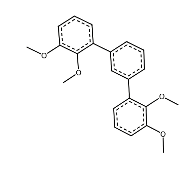 COc1cccc(-c2cccc(-c3cccc(OC)c3OC)c2)c1OC